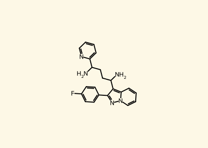 NC(CCC(N)c1c(-c2ccc(F)cc2)nn2ccccc12)c1ccccn1